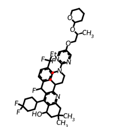 CCC(F)(F)c1ccc(C(F)c2c(C3CCN(c4ncc(OC[C@H](C)OC5CCCCO5)cn4)CC3)nc3c(c2C2CCC(F)(F)CC2)C(O)CC(C)(C)C3)cc1